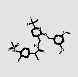 COc1cc(COc2nc(C(F)(F)F)ccc2CNC(=O)C(C)c2ccc(NS(C)(=O)=O)c(F)c2)cc(OC)c1